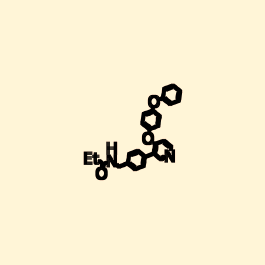 CCC(=O)NCc1ccc(-c2cnccc2Oc2ccc(Oc3ccccc3)cc2)cc1